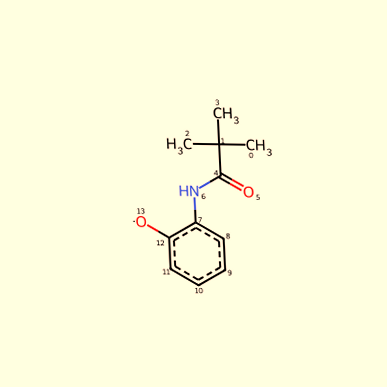 CC(C)(C)C(=O)Nc1ccccc1[O]